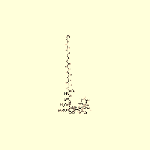 CCC=CCC=CCC=CCC=CCC=CCC=CCCC(=O)NCC(=O)OC(C)C(NC(=O)C1=CC(=O)C(C)(c2ccccc2)O1)C(=O)OC